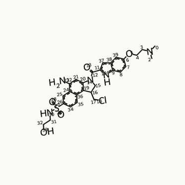 CN(C)CCOc1ccc2[nH]c(C(=O)N3CC(CCl)c4c3cc(N)c3cc(S(=O)(=O)NCCO)ccc43)cc2c1